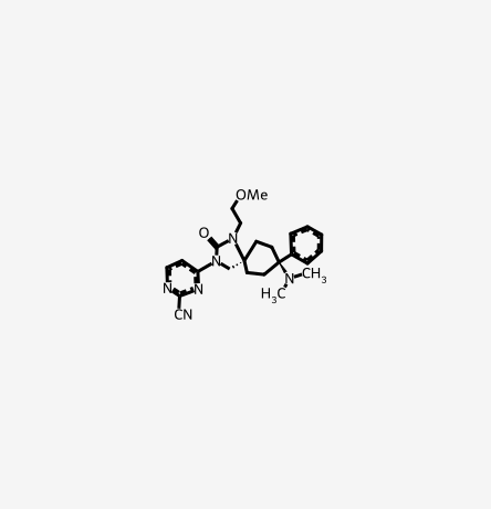 COCCN1C(=O)N(c2ccnc(C#N)n2)C[C@]12CC[C@](c1ccccc1)(N(C)C)CC2